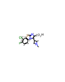 CN1CC(c2c(C(=O)O)nc3sc4c(Cl)c(F)ccc4n23)C1